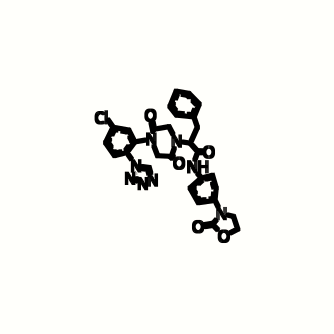 O=C(Nc1ccc(N2CCOC2=O)cc1)C(Cc1ccccc1)N1CC(=O)N(c2cc(Cl)ccc2-n2cnnn2)CC1=O